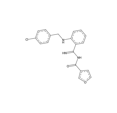 N=C(NC(=O)c1ccoc1)c1ccccc1NCc1ccc(Cl)cc1